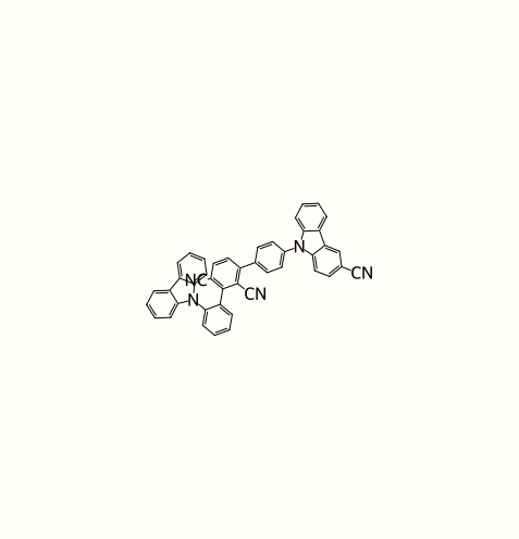 N#Cc1ccc2c(c1)c1ccccc1n2-c1ccc(-c2ccc(C#N)c(-c3ccccc3-n3c4ccccc4c4ccccc43)c2C#N)cc1